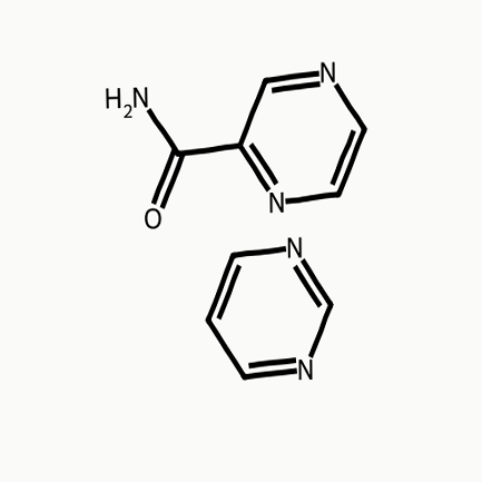 NC(=O)c1cnccn1.c1cncnc1